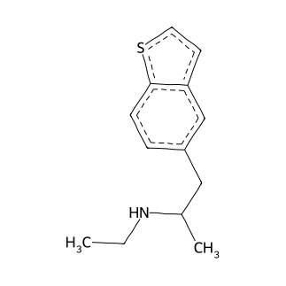 CCNC(C)Cc1ccc2sccc2c1